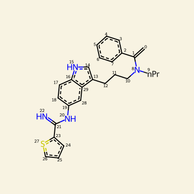 C=C(c1ccccc1)N(CCC)CCCc1c[nH]c2ccc(NC(=N)c3cccs3)cc12